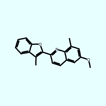 COc1cc(C)c2nc(-c3oc4ccccc4c3C)ccc2c1